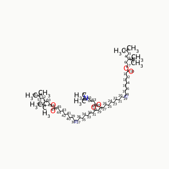 CC(C)CCC(CCOC(=O)CCCCCCC/C=C\CCCCCCCCC(CCCCCCCC/C=C\CCCCCCCC(=O)OCCC(CCC(C)C)C(C)C)OC(=O)CCCN(C)C)C(C)C